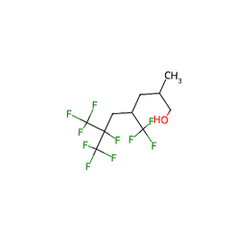 CC(CO)CC(CC(F)(C(F)(F)F)C(F)(F)F)C(F)(F)F